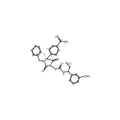 COc1cccc([C@H](CC(=O)O)NC(=O)CN2C(=O)N(Cc3ccccc3)[C@@](C)(c3ccc(C(=N)N)cc3)C2=O)c1